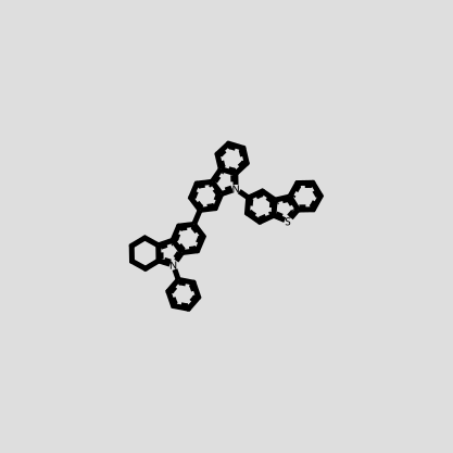 c1ccc(-n2c3c(c4cc(-c5ccc6c7ccccc7n(-c7ccc8sc9ccccc9c8c7)c6c5)ccc42)CCCC3)cc1